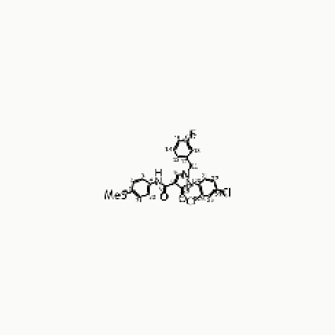 CSc1ccc(NC(=O)c2cn(Cc3cccc(F)c3)n(-c3ccc(Cl)cc3Cl)c2=O)cc1